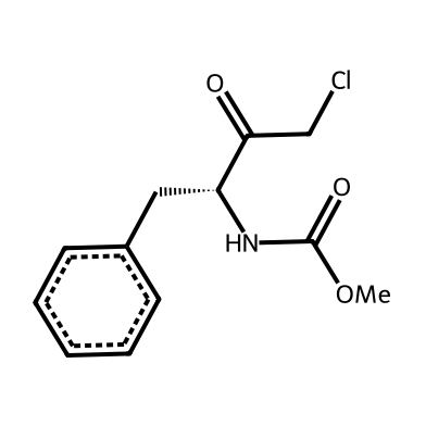 COC(=O)N[C@H](Cc1ccccc1)C(=O)CCl